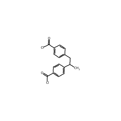 CC(Cc1ccc(C(=O)Cl)cc1)c1ccc(C(=O)Cl)cc1